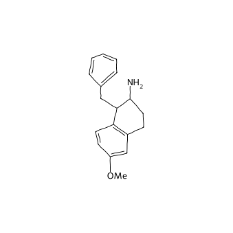 COc1ccc2c(c1)CCC(N)C2Cc1ccccc1